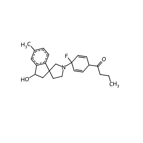 CCCC(=O)C1C=CC(F)(N2CCC3(CC(O)c4cc(C)ccc43)C2)C=C1